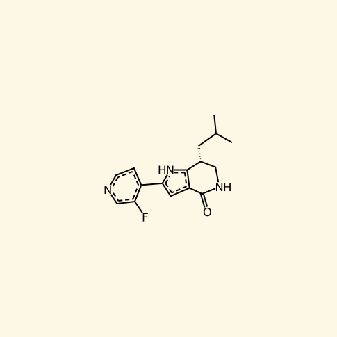 CC(C)C[C@@H]1CNC(=O)c2cc(-c3ccncc3F)[nH]c21